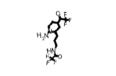 NN1CCC(C(=O)C(F)(F)F)CC1CCCNC(=O)C(F)(F)F